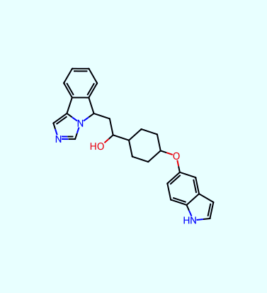 OC(CC1c2ccccc2-c2cncn21)C1CCC(Oc2ccc3[nH]ccc3c2)CC1